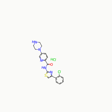 Cl.O=C(Nc1nc(-c2ccccc2Cl)cs1)c1ccc(N2CCNCC2)cn1